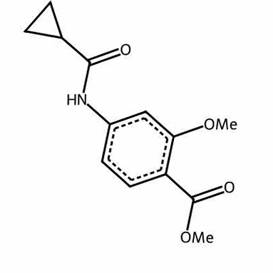 COC(=O)c1ccc(NC(=O)C2CC2)cc1OC